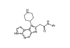 CC(C)NC(=O)Cc1nc2cnc3[nH]ccc3c2n1C1CCNCC1